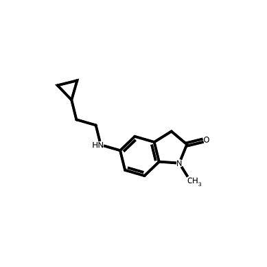 CN1C(=O)Cc2cc(NCCC3CC3)ccc21